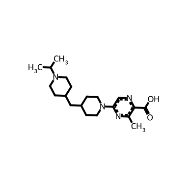 Cc1nc(N2CCC(CC3CCN(C(C)C)CC3)CC2)cnc1C(=O)O